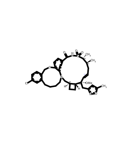 CO[C@@]1(Cc2cc(C)on2)/C=C/C[C@H](C)[C@@H](C)S(=O)(=O)NC(=O)c2ccc3c(c2)N(CCCCc2cc(Cl)ccc2CO3)C[C@@H]2CC[C@H]21